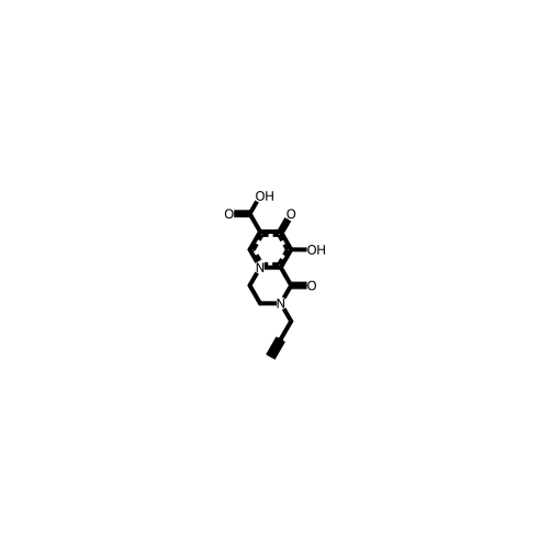 C#CCN1CCn2cc(C(=O)O)c(=O)c(O)c2C1=O